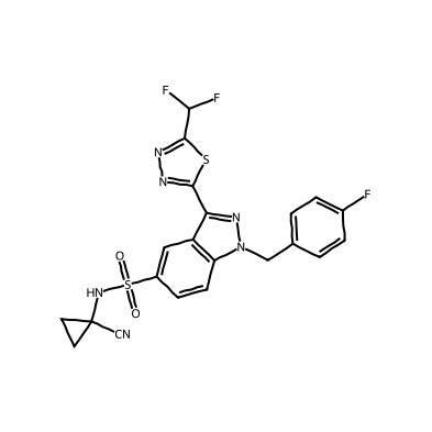 N#CC1(NS(=O)(=O)c2ccc3c(c2)c(-c2nnc(C(F)F)s2)nn3Cc2ccc(F)cc2)CC1